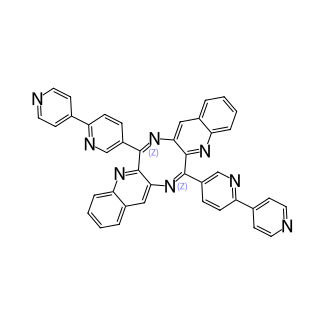 c1ccc2nc3c(cc2c1)/N=C(/c1ccc(-c2ccncc2)nc1)c1nc2ccccc2cc1/N=C\3c1ccc(-c2ccncc2)nc1